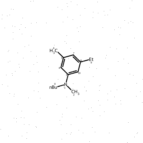 CCCCN(C)c1cc(C)cc(CC)c1